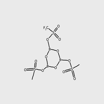 CS(=O)(=O)OB1OB(OS(C)(=O)=O)OB(OS(=O)(=O)C(F)(F)F)O1